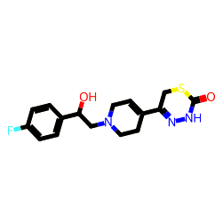 O=C1NN=C(C2=CCN(CC(O)c3ccc(F)cc3)CC2)CS1